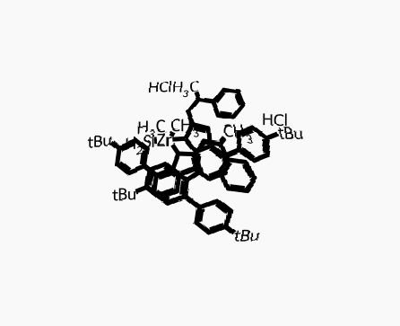 CC(CC1=Cc2c(-c3ccc(C(C)(C)C)cc3)ccc(-c3ccc(C(C)(C)C)cc3)c2[CH]1[Zr]([CH3])([CH3])(=[SiH2])[CH]1C(CC(C)c2ccccc2)=Cc2c(-c3ccc(C(C)(C)C)cc3)ccc(-c3ccc(C(C)(C)C)cc3)c21)c1ccccc1.Cl.Cl